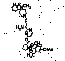 COc1cc(C)c(S(=O)(=O)N2CCC[C@H]2COc2ccnc(C(N)CCCN3CCC(c4ccccc4)(N(C)C)CC3)n2)c(C)c1